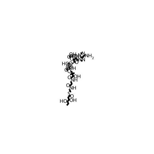 CCC(O)C(O)CC(=O)SCCNC(=O)CCNC(=O)[C@H](O)C(C)(C)COP(=O)(O)OP(=O)(O)OC[C@H]1O[C@@H](n2cnc3c(N)ncnc32)[C@H](O)[C@@H]1OP(=O)(O)O